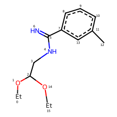 CCOC(CNC(=N)c1cccc(C)c1)OCC